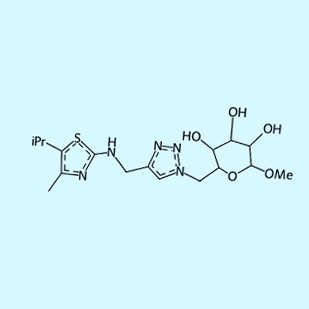 COC1OC(Cn2cc(CNc3nc(C)c(C(C)C)s3)nn2)C(O)C(O)C1O